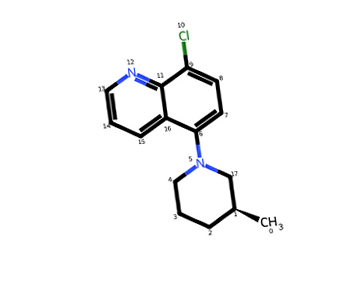 C[C@H]1CCCN(c2ccc(Cl)c3ncccc23)C1